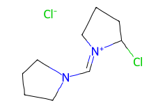 ClC1CCC[N+]1=CN1CCCC1.[Cl-]